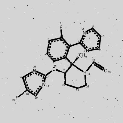 C[C@]1(c2cccc(F)c2-c2ncccn2)[C@H](Oc2ncc(F)cn2)CCCN1C=O